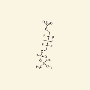 C[Si](C)(C)OS(=O)(=O)OCC(F)(F)C(F)(F)C(F)(F)CO[SH](=O)=O